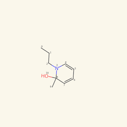 CCCN1C=CC=CC1(C)O